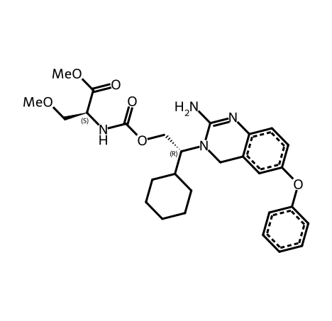 COC[C@H](NC(=O)OC[C@@H](C1CCCCC1)N1Cc2cc(Oc3ccccc3)ccc2N=C1N)C(=O)OC